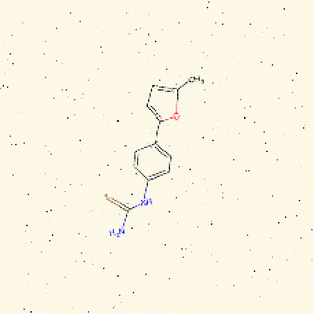 Cc1ccc(-c2ccc(NC(N)=S)cc2)o1